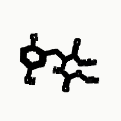 COC(=O)C(Cc1cc(O)ccc1Cl)NC(=O)OC(C)(C)C